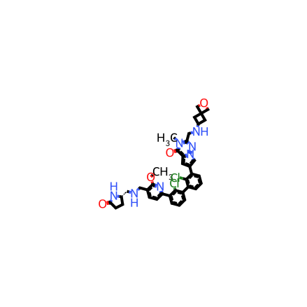 COc1nc(-c2cccc(-c3cccc(-c4cc5c(=O)n(C)c(CNC6CC7(COC7)C6)nn5c4)c3Cl)c2Cl)ccc1CNC[C@@H]1CCC(=O)N1